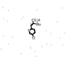 CC(C)(C)/C(=C\c1ccc(Cl)cn1)C(=O)O